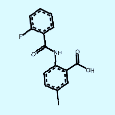 O=C(Nc1ccc(I)cc1C(=O)O)c1ccccc1F